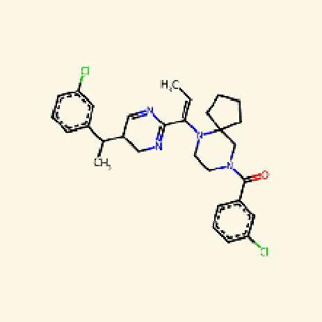 CC=C(C1=NCC(C(C)c2cccc(Cl)c2)C=N1)N1CCN(C(=O)c2cccc(Cl)c2)CC12CCCC2